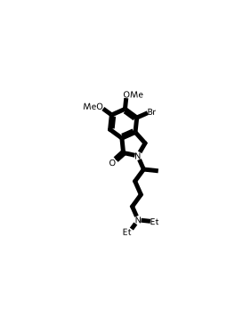 CCN(CC)CCCC(C)N1Cc2c(cc(OC)c(OC)c2Br)C1=O